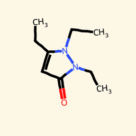 CCc1cc(=O)n(CC)n1CC